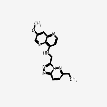 CCc1ccc2nnc(CNc3ccnc4cc(OC)cnc34)n2n1